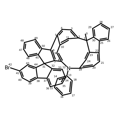 CC12c3ccc4c5c(c(cc4c3)N(c3ccccc3)c3ccc(c1c3)-c1ccccc12)C1(c2ccccc2-c2ccc(Br)cc21)c1ccccc1-5